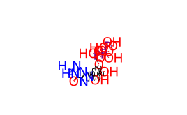 C[C@@]1(O)[C@H](O)[C@@H](OCP(=O)(O)OP(=O)(O)OP(=O)(O)O)C[C@H]1n1cnc2c(=O)[nH]c(N)nc21